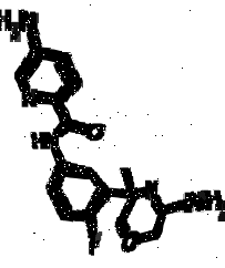 CC1(c2cc(NC(=O)c3ccc(N)cn3)ccc2F)COCC(N)=N1